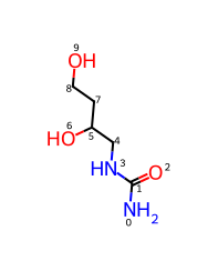 NC(=O)NCC(O)CCO